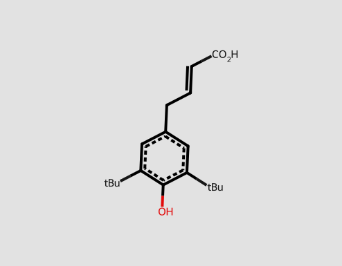 CC(C)(C)c1cc(C/C=C/C(=O)O)cc(C(C)(C)C)c1O